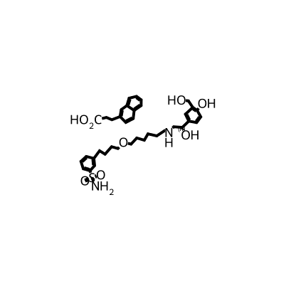 NS(=O)(=O)c1cccc(CCCCOCCCCCCNC[C@H](O)c2ccc(O)c(CO)c2)c1.O=C(O)CCc1ccc2ccccc2c1